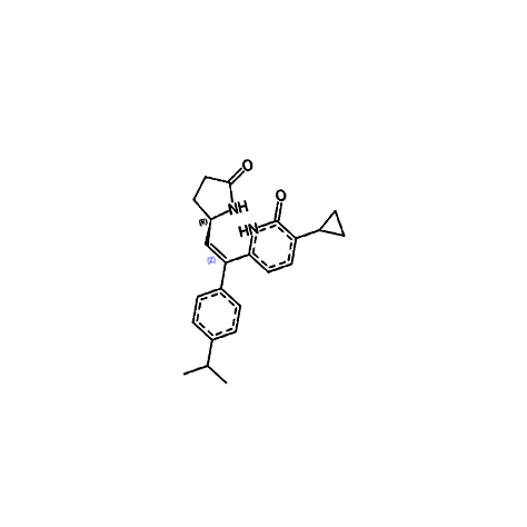 CC(C)c1ccc(/C(=C/[C@H]2CCC(=O)N2)c2ccc(C3CC3)c(=O)[nH]2)cc1